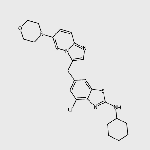 Clc1cc(Cc2cnc3ccc(N4CCOCC4)nn23)cc2sc(NC3CCCCC3)nc12